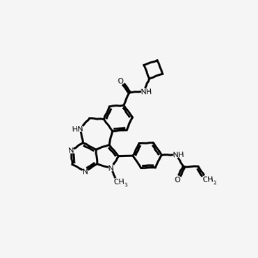 C=CC(=O)Nc1ccc(-c2c3c4c(ncnc4n2C)NCc2cc(C(=O)NC4CCC4)ccc2-3)cc1